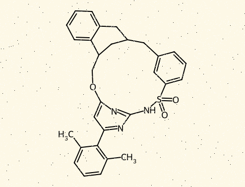 Cc1cccc(C)c1-c1cc2nc(n1)NS(=O)(=O)c1cccc(c1)CC1Cc3ccccc3C(CO2)C1